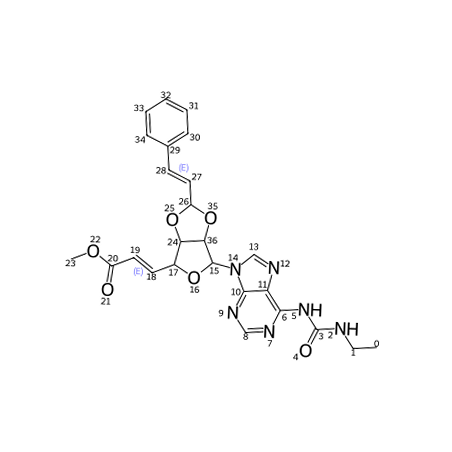 CCNC(=O)Nc1ncnc2c1ncn2C1OC(/C=C/C(=O)OC)C2OC(/C=C/c3ccccc3)OC21